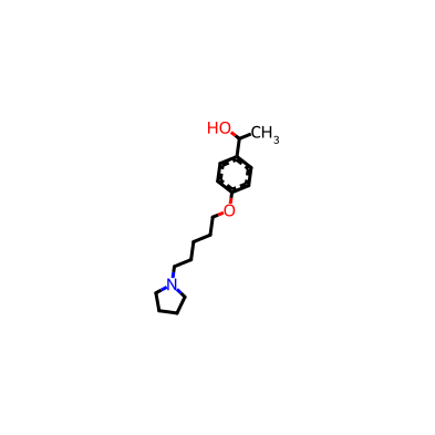 CC(O)c1ccc(OCCCCCN2CCCC2)cc1